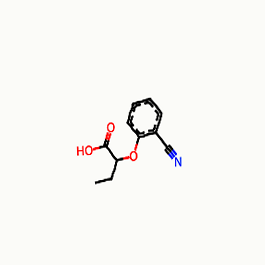 CCC(Oc1ccccc1C#N)C(=O)O